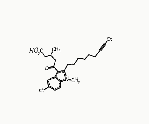 CCC#CCCCCCCc1c(C(=O)C[C@H](C)CC(=O)O)c2cc(Cl)ccc2n1C